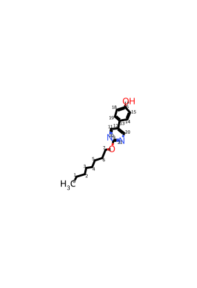 CCCCCCCCOc1ncc(-c2ccc(O)cc2)cn1